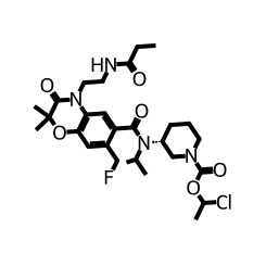 CCC(=O)NCCN1C(=O)C(C)(C)Oc2cc(CF)c(C(=O)N(C(C)C)[C@@H]3CCCN(C(=O)OC(C)Cl)C3)cc21